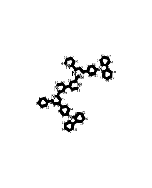 c1ccc(-c2cc(-c3ccc(-n4c5ccccc5c5ccccc54)cc3)cc(-c3cc(-c4ccnc(-c5nc(-c6ccc(-n7c8ccccc8c8ccccc87)cc6)cc(-c6ccccn6)n5)c4)ccn3)n2)cc1